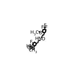 CCOc1cc(C(F)(F)F)ccc1C=CC(=O)NCCCc1cc(F)c(NS(C)(=O)=O)c(F)c1